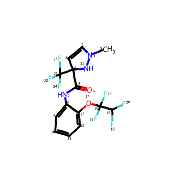 CN1C=CC(C(=O)Nc2ccccc2OC(F)(F)C(F)F)(C(F)(F)F)N1